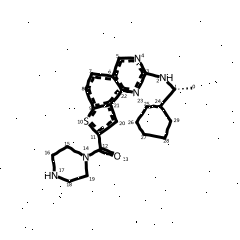 C[C@@H](Nc1ncc2ccc3sc(C(=O)N4CCNCC4)cc3c2n1)C1CCCCC1